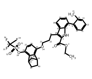 CCOC(=O)c1[nH]c2c(-c3ccccc3C)cccc2c1CCCOc1ccc(OS(=O)(=O)C(F)(F)F)c2c1C1CCC2C1